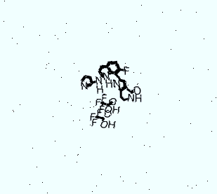 O=C(O)C(F)(F)F.O=C(O)C(F)(F)F.O=C1NCCc2[nH]c(-c3c(F)ccc4ccc(Nc5cccnc5)nc34)cc21